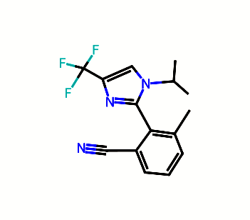 Cc1cccc(C#N)c1-c1nc(C(F)(F)F)cn1C(C)C